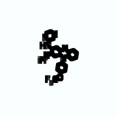 CC(C)/N=c1\cc2n(-c3ccc(OC(F)(F)F)cc3)c3ccccc3nc-2cc1Nc1cnccn1